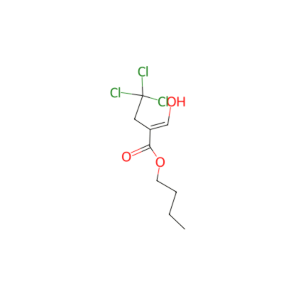 CCCCOC(=O)C(=CO)CC(Cl)(Cl)Cl